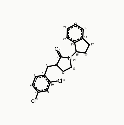 O=C1C(Cc2ccc(Cl)cc2Cl)CCN1C1CCc2ccccc21